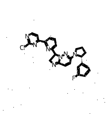 Fc1cccc([C@H]2CCCN2C2=NN3C(=NCC3c3cccc(-c4ccnc(Cl)n4)n3)C=C2)c1